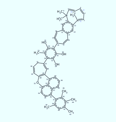 C\C1=C/C=C\C=C\C(C)(C)c2cc3c(cc21)C=CC(c1c(O)c(C)c(C2=CC4=C(C=CC2)Oc2ccc(-c5c(C)cc(C)c(C)c5C)c5cccc4c25)c(O)c1O)=C=C3